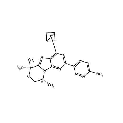 C[C@@H]1COC(C)(C)c2nc3c(N4CC5CC4C5)nc(-c4cnc(N)nc4)nc3n21